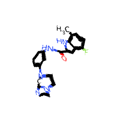 Cc1ccc(F)c2cc(C(=O)Nc3cccc(N4CCn5ccnc5C4)c3)[nH]c12